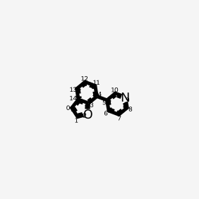 [c]1coc2c(-c3cccnc3)cccc12